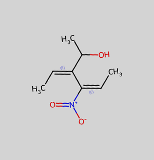 C/C=C(\C(=C/C)[N+](=O)[O-])C(C)O